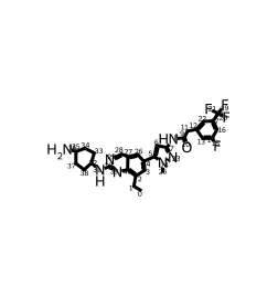 CCc1cc(-c2cc(NC(=O)Cc3cc(F)cc(C(F)(F)F)c3)nn2C)cc2cnc(NC3CCC(N)CC3)nc12